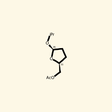 CC(=O)OC[C@@H]1CC[C@H](OC(C)C)O1